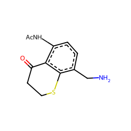 CC(=O)Nc1ccc(CN)c2c1C(=O)CCS2